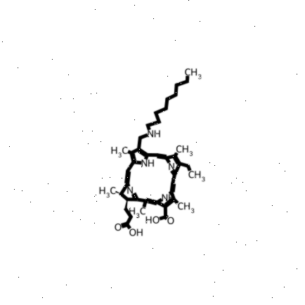 CCCCCCCCCNCc1c(C)c2cc3nc(c(C)c4[nH]c(cc5nc(cc1[nH]2)C(C)=C5CC)c(C)c4C(=O)O)[C@@H](CCC(=O)O)[C@@H]3C